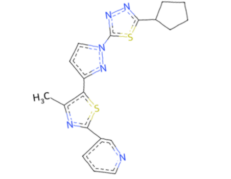 Cc1nc(-c2cccnc2)sc1-c1ccn(-c2nnc(C3CCCC3)s2)n1